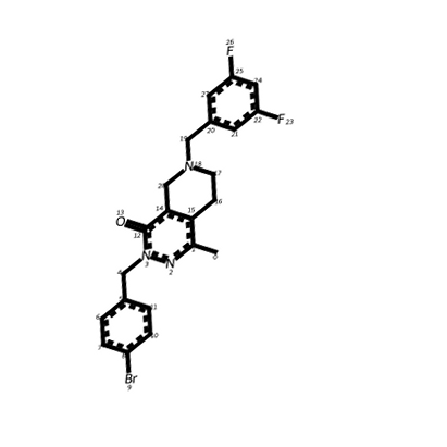 Cc1nn(Cc2ccc(Br)cc2)c(=O)c2c1CCN(Cc1cc(F)cc(F)c1)C2